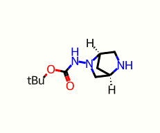 CC(C)(C)OC(=O)NN1C[C@H]2C[C@@H]1CN2